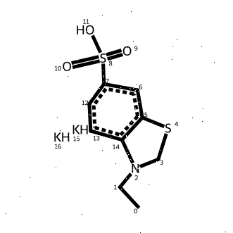 CCN1CSc2cc(S(=O)(=O)O)ccc21.[KH].[KH]